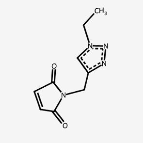 CCn1cc(CN2C(=O)C=CC2=O)nn1